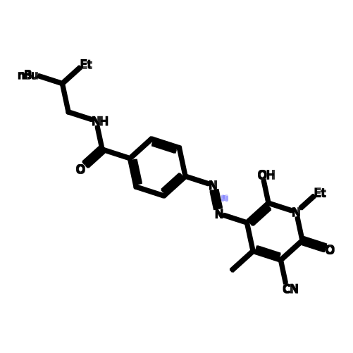 CCCCC(CC)CNC(=O)c1ccc(/N=N/c2c(C)c(C#N)c(=O)n(CC)c2O)cc1